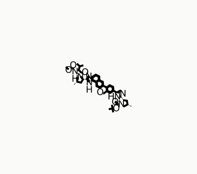 COC(=O)N[C@H](C(=O)N1C[C@@H](C)C[C@H]1c1nc2ccc3cc4c(cc3c2[nH]1)OCc1cc(-c2cnc([C@@H]3C[C@H](C)CN3C(=O)OC(C)(C)C)[nH]2)ccc1-4)C(C)C